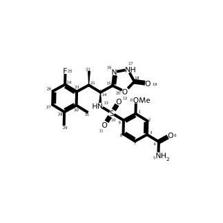 COc1cc(C(N)=O)ccc1S(=O)(=O)N[C@H](c1n[nH]c(=O)o1)[C@H](C)c1c(F)ccc(C)c1C